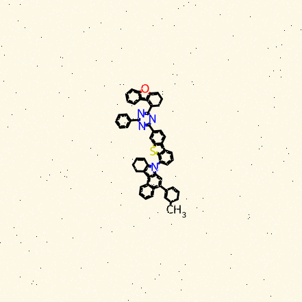 CC1C=C(c2cc3c(c4c(n3-c3cccc5c3sc3cc(-c6nc(C7=c8c(oc9ccccc89)=CCC7)nc(-c7ccccc7)n6)ccc35)C=CCC4)c3ccccc23)C=CC1